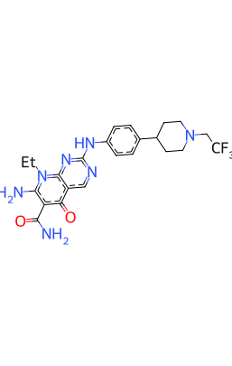 CCn1c(N)c(C(N)=O)c(=O)c2cnc(Nc3ccc(C4CCN(CC(F)(F)F)CC4)cc3)nc21